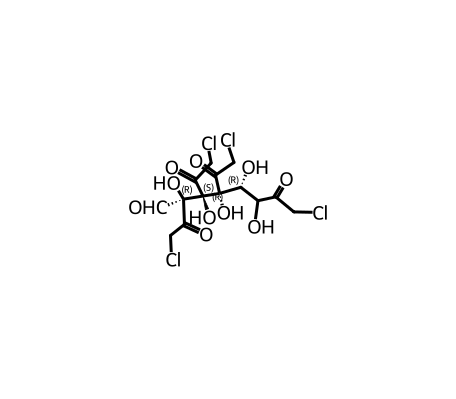 O=C[C@@](O)(C(=O)CCl)[C@](O)(C(=O)CCl)[C@@](O)(C(=O)CCl)[C@H](O)C(O)C(=O)CCl